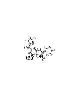 C=CCN(Cc1cc(C(=O)c2cccs2)cc(C(C)(C)C)c1O)C1CCCCC1